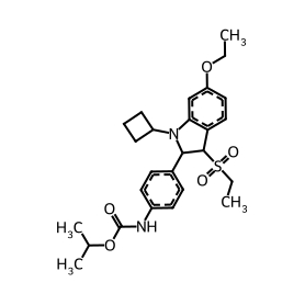 CCOc1ccc2c(c1)N(C1CCC1)C(c1ccc(NC(=O)OC(C)C)cc1)C2S(=O)(=O)CC